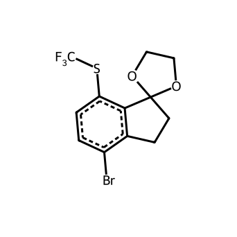 FC(F)(F)Sc1ccc(Br)c2c1C1(CC2)OCCO1